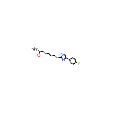 CCCC(=O)CCC=CCCc1nc(-c2ccc(F)cc2)c[nH]1